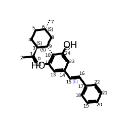 C=C(C)[C@H]1CC[C@H](C)C[C@@H]1c1c(O)cc(/C=C/c2ccccc2)cc1O